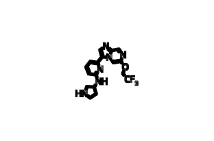 FC(F)(F)COc1cn2c(-c3cccc(NC4CCNC4)n3)cnc2cn1